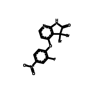 O=C1Nc2nccc(Oc3ccc([N+](=O)[O-])cc3F)c2C1(Br)Br